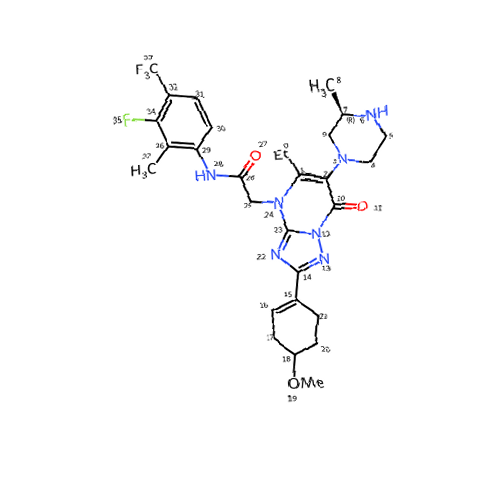 CCc1c(N2CCN[C@H](C)C2)c(=O)n2nc(C3=CCC(OC)CC3)nc2n1CC(=O)Nc1ccc(C(F)(F)F)c(F)c1C